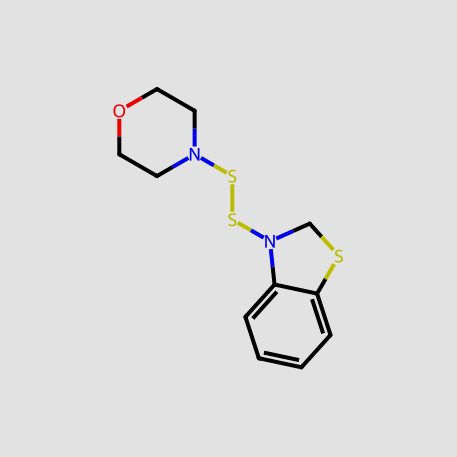 c1ccc2c(c1)SCN2SSN1CCOCC1